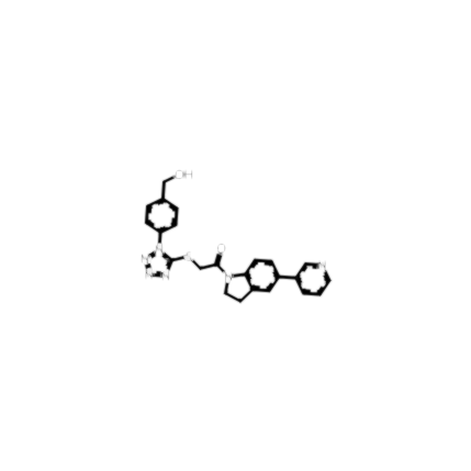 O=C(CSc1nnnn1-c1ccc(CO)cc1)N1CCc2cc(-c3cccnc3)ccc21